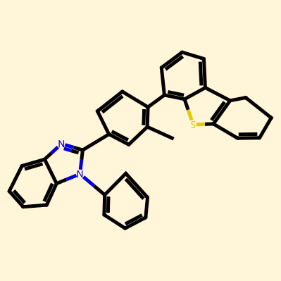 Cc1cc(-c2nc3ccccc3n2-c2ccccc2)ccc1-c1cccc2c3c(sc12)C=CCC3